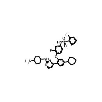 NC1CCC(Nc2nccc(-c3ccc(C4CCCCC4)cc3Oc3ccc(NS(=O)(=O)c4ccccc4Cl)cc3F)n2)CC1